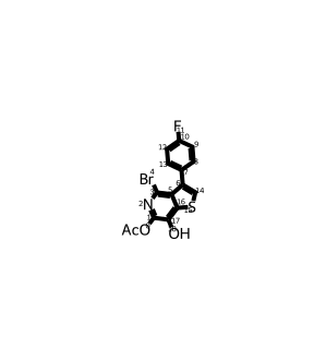 CC(=O)Oc1nc(Br)c2c(-c3ccc(F)cc3)csc2c1O